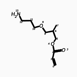 C=CC(=O)OCC(C)COCCCN